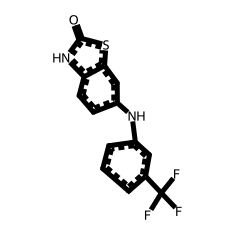 O=c1[nH]c2ccc(Nc3cccc(C(F)(F)F)c3)cc2s1